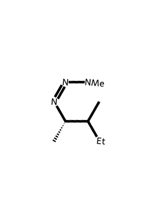 CCC(C)[C@H](C)/N=N\NC